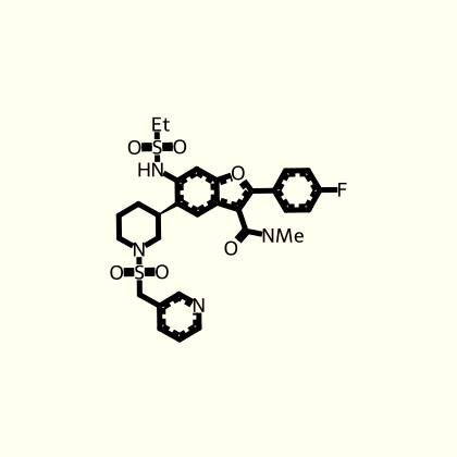 CCS(=O)(=O)Nc1cc2oc(-c3ccc(F)cc3)c(C(=O)NC)c2cc1[C@@H]1CCCN(S(=O)(=O)Cc2cccnc2)C1